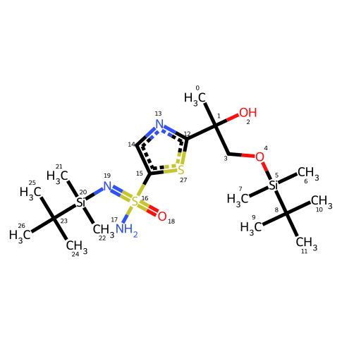 CC(O)(CO[Si](C)(C)C(C)(C)C)c1ncc(S(N)(=O)=N[Si](C)(C)C(C)(C)C)s1